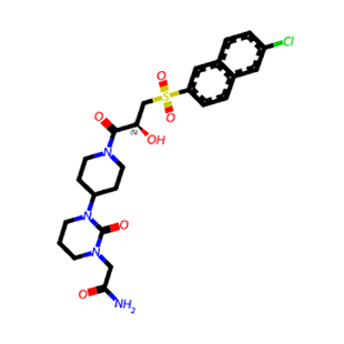 NC(=O)CN1CCCN(C2CCN(C(=O)[C@H](O)CS(=O)(=O)c3ccc4cc(Cl)ccc4c3)CC2)C1=O